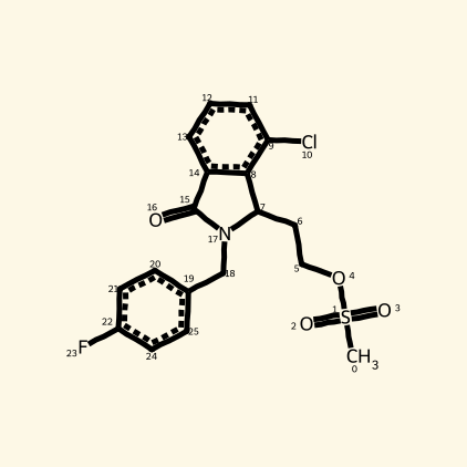 CS(=O)(=O)OCCC1c2c(Cl)cccc2C(=O)N1Cc1ccc(F)cc1